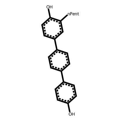 CCCCCc1cc(-c2ccc(-c3ccc(O)cc3)cc2)ccc1O